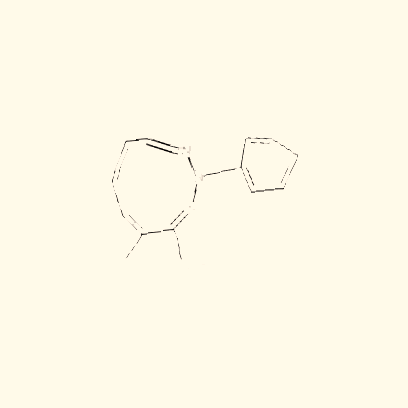 CCOC(=O)c1nn(-c2ccccc2)nccccc1C